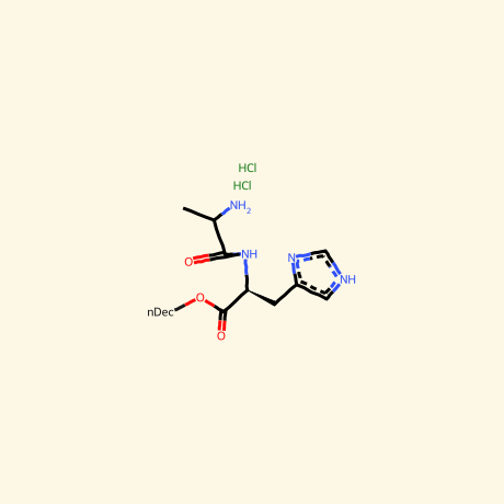 CCCCCCCCCCOC(=O)[C@H](Cc1c[nH]cn1)NC(=O)C(C)N.Cl.Cl